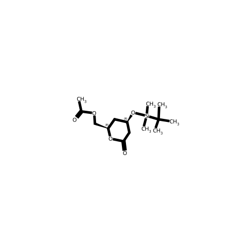 CC(=O)OC[C@H]1C[C@@H](O[Si](C)(C)C(C)(C)C)CC(=O)O1